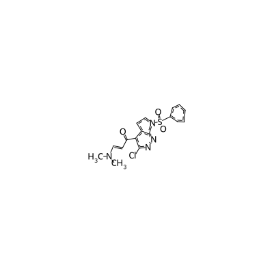 CN(C)C=CC(=O)c1c(Cl)nnc2c1ccn2S(=O)(=O)c1ccccc1